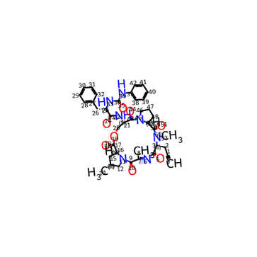 C#CC[C@H]1C(=O)/N=C(\C)C(=O)N2C[C@H](C)C[C@H]2C(=O)OC[C@H](NC(=O)[C@H](Cc2ccccc2)NC(=O)Nc2ccccc2)C(=O)N2CCC[C@H]2C(=O)N1C